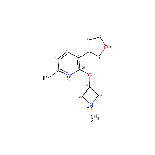 CC(C)c1ccc(C2CCOC2)c(OC2CN(C)C2)n1